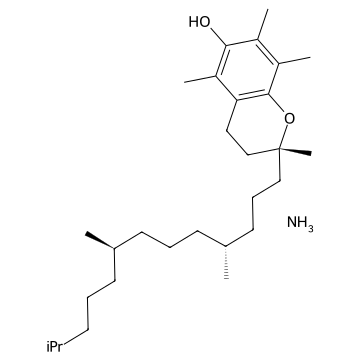 Cc1c(C)c2c(c(C)c1O)CC[C@@](C)(CCC[C@H](C)CCC[C@H](C)CCCC(C)C)O2.N